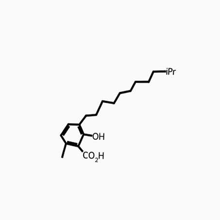 Cc1ccc(CCCCCCCCCC(C)C)c(O)c1C(=O)O